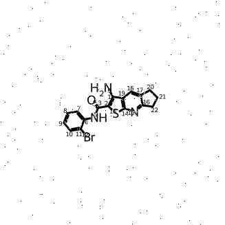 Nc1c(C(=O)Nc2ccccc2Br)sc2nc3c(cc12)CCC3